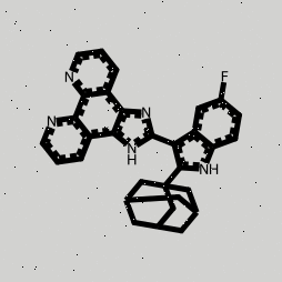 Fc1ccc2[nH]c(C34CC5CC(CC(C5)C3)C4)c(-c3nc4c5cccnc5c5ncccc5c4[nH]3)c2c1